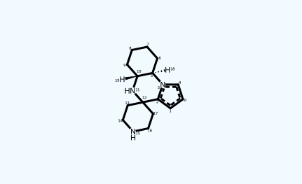 c1cc2n(c1)[C@@H]1CCCC[C@H]1NC21CCNCC1